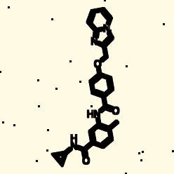 Cc1ccc(C(=O)NC2CC2)cc1NC(=O)c1ccc(OCc2cn3ccccc3n2)cc1